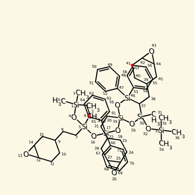 C[Si](C)(C)O[Si](C)(CCC1CCC2OC2C1)O[Si](O[Si]1(CCC2CCC3OC3C2)O[Si](C)(O[Si](C)(C)C)C(CC2CCC3OC3C2)[Si](c2ccccc2)(c2ccccc2)O1)(c1ccccc1)c1ccccc1